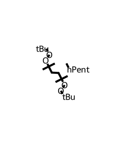 CC(C)(C)OOC(C)(C)CCC(C)(C)OOC(C)(C)C.CCCCCC